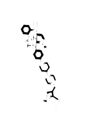 COc1cc(N2CCC(N3CCN(CC4CN(C(=O)O)C4C(C)(C)C)CC3)CC2)ccc1Nc1ncc(Cl)c(Nc2ccccc2N[S+](C)[O-])n1